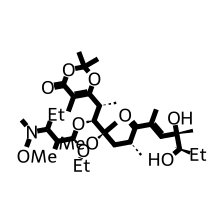 CCO[C@@H](O[C@H]([C@@H](C)C1=C(C)C(=O)OC(C)(C)O1)[C@@](C)(C[C@@H](C)C(=O)/C(C)=C/[C@](C)(O)[C@H](O)CC)OC)C(OC)C(CC)N(C)C